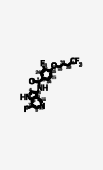 O=C(Nc1c[nH]c2c(F)cncc12)c1ccc(OCCCC(F)(F)F)c(F)c1